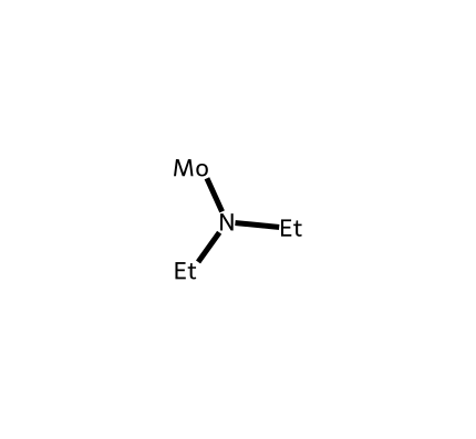 CC[N]([Mo])CC